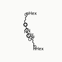 CCCCCCOCCCCc1ccc(-c2cnc(-c3ccc4c(n3)C(F)(F)C(CCCCOCCCCCC)O4)nc2)cc1